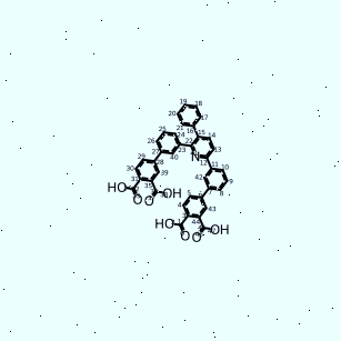 O=C(O)c1ccc(-c2cccc(-c3ccc(-c4ccccc4)c(-c4cccc(-c5ccc(C(=O)O)c(C(=O)O)c5)c4)n3)c2)cc1C(=O)O